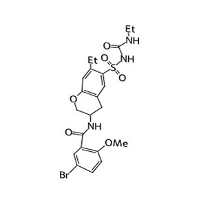 CCNC(=O)NS(=O)(=O)c1cc2c(cc1CC)OCC(NC(=O)c1cc(Br)ccc1OC)C2